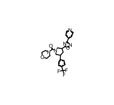 O=C(N1CCOCC1)N1CC(c2ccc(C(F)(F)F)cc2)CC(c2nc(-c3ccncc3)no2)C1